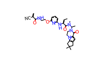 C=C(C#N)C(=O)NCCOc1cccc(N/C(=C/C)C(=O)N(C)C(C)N2CCn3c(cc4c3CC(C)(C)C4)C2=O)n1